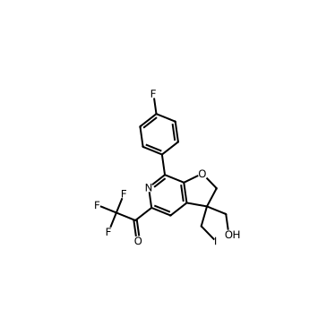 O=C(c1cc2c(c(-c3ccc(F)cc3)n1)OCC2(CO)CI)C(F)(F)F